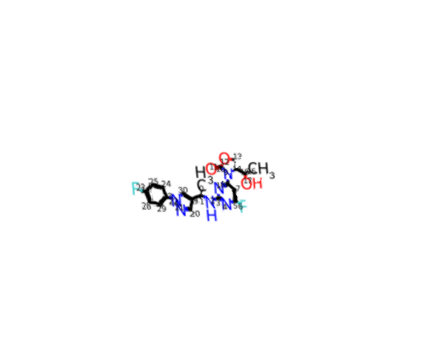 C[C@H](Nc1nc(F)cc(N2C(=O)OC[C@@H]2[C@@H](C)O)n1)c1cnn(-c2ccc(F)cc2)c1